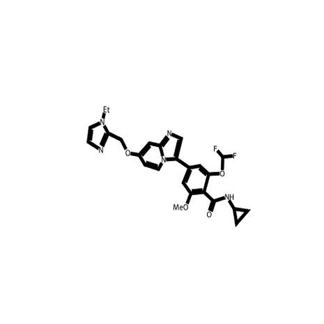 CCn1ccnc1COc1ccn2c(-c3cc(OC)c(C(=O)NC4CC4)c(OC(F)F)c3)cnc2c1